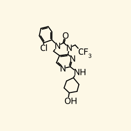 O=C1N(c2ccccc2Cl)Cc2cnc(NC3CCC(O)CC3)nc2N1CC(F)(F)F